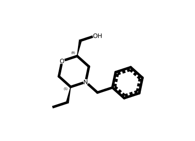 CC[C@H]1CO[C@@H](CO)CN1Cc1ccccc1